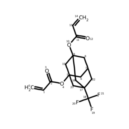 C=CC(=O)OC12CC3CC(OC(=O)C=C)(C1)CC(C(F)(F)F)(C3)C2